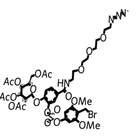 COc1cc(OS(=O)(=O)Oc2cc(C(=O)NCCOCCOCCOCCN=[N+]=[N-])ccc2OC2O[C@H](COC(C)=O)[C@H](OC(C)=O)[C@H](OC(C)=O)[C@H]2OC(C)=O)cc(OC)c1CBr